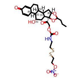 CCCC1O[C@@H]2C[C@@H]3C(C[C@H](O)[C@H]4[C@H]3CCC3=CC(=O)C=C[C@@]34C)[C@]2(C(=O)COC(=O)NCCSSCCO[N+](=O)[O-])O1